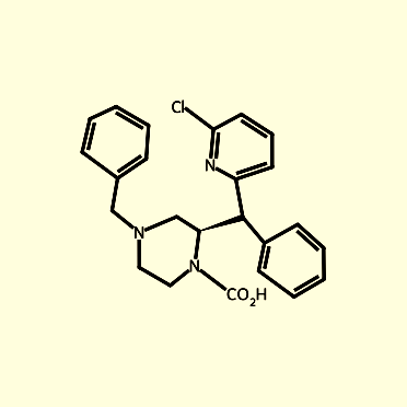 O=C(O)N1CCN(Cc2ccccc2)C[C@H]1C(c1ccccc1)c1cccc(Cl)n1